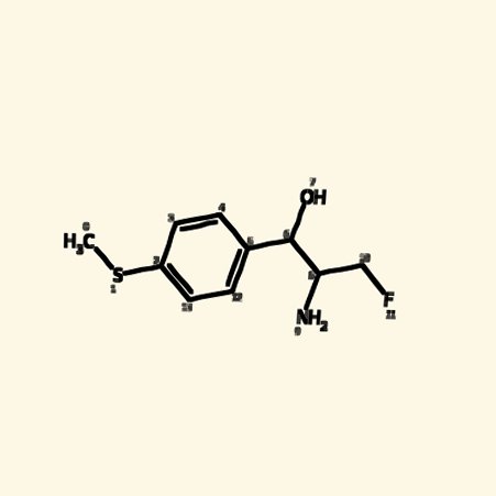 CSc1ccc(C(O)C(N)CF)cc1